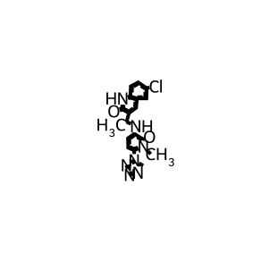 CC(Nc1ccc(-n2cnnn2)n(C)c1=O)c1cc2cc(Cl)ccc2[nH]c1=O